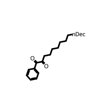 CCCCCCCCCCCCCCCCCC(=O)C(=O)c1ccccc1